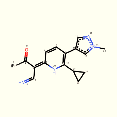 CC(C)C(=O)/C(C=N)=C1\C=CC(c2cnn(C)c2)=C(C2CC2)N1